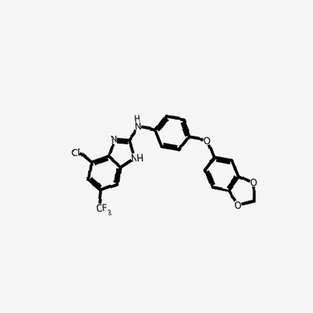 FC(F)(F)c1cc(Cl)c2nc(Nc3ccc(Oc4ccc5c(c4)OCO5)cc3)[nH]c2c1